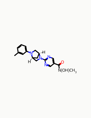 Cc1cccc(N2C[C@@H]3C[C@H]2CN3c2ncc(C(=O)N(C)O)cn2)c1